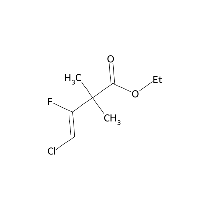 CCOC(=O)C(C)(C)C(F)=CCl